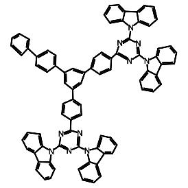 c1ccc(-c2ccc(-c3cc(-c4ccc(-c5nc(-n6c7ccccc7c7ccccc76)nc(-n6c7ccccc7c7ccccc76)n5)cc4)cc(-c4ccc(-c5nc(-n6c7ccccc7c7ccccc76)nc(-n6c7ccccc7c7ccccc76)n5)cc4)c3)cc2)cc1